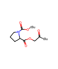 CC(C)(C)OC(=O)N1CCCC1C(=O)OCC(=O)C(C)(C)C